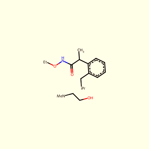 CCONC(=O)C(C)c1ccccc1CC(C)C.CNCCO